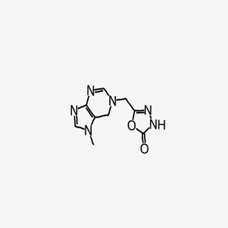 Cn1cnc2c1CN(Cc1n[nH]c(=O)o1)C=N2